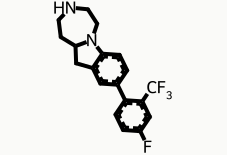 Fc1ccc(-c2ccc3c(c2)CC2CCNCCN32)c(C(F)(F)F)c1